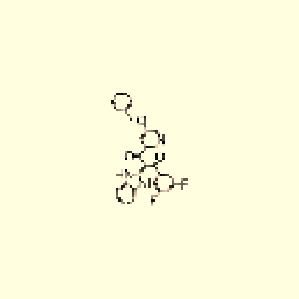 O=C(C(C(=O)c1cncc(OCc2ccccc2)c1)=C1Nc2ccccc2N1)c1cc(F)cc(F)c1